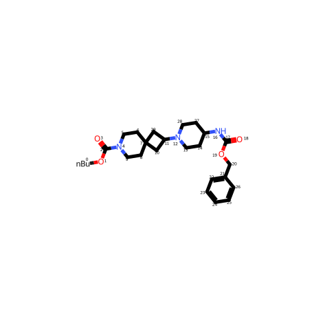 CCCCOC(=O)N1CCC2(CC1)CC(N1CCC(NC(=O)OCc3ccccc3)CC1)C2